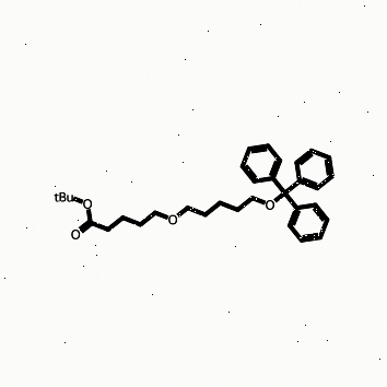 CC(C)(C)OC(=O)CCCCOCCCCCOC(c1ccccc1)(c1ccccc1)c1ccccc1